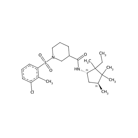 CCC1(C)[C@@H](NC(=O)C2CCCN(S(=O)(=O)c3cccc(Cl)c3C)C2)C[C@H](C)C1(C)C